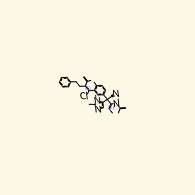 C=C(C)/C(CCc1ccccc1)=C(/Cl)c1cc(C(C#N)(/C(=C/C)N(C)C(=C)C)c2cnc(C)n2C)ccc1C